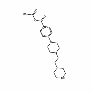 CC(C)(C)C(=O)OC(=O)c1ccc(N2CCN(CCC3CCNCC3)CC2)cc1